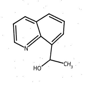 CC(O)c1cccc2cccnc12